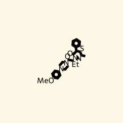 CCC(C(=O)N1CCN(c2ccc(OC)cc2)CC1)N1N=C(C)C2Sc3ccccc3C2C1=O